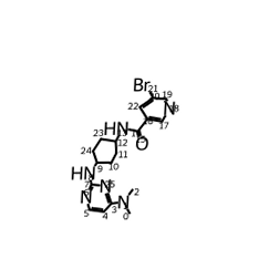 CN(C)c1ccnc(NC2CCC(NC(=O)c3cncc(Br)c3)CC2)n1